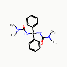 CN(C)C(=O)N[Si](NC(=O)N(C)C)(c1ccccc1)c1ccccc1